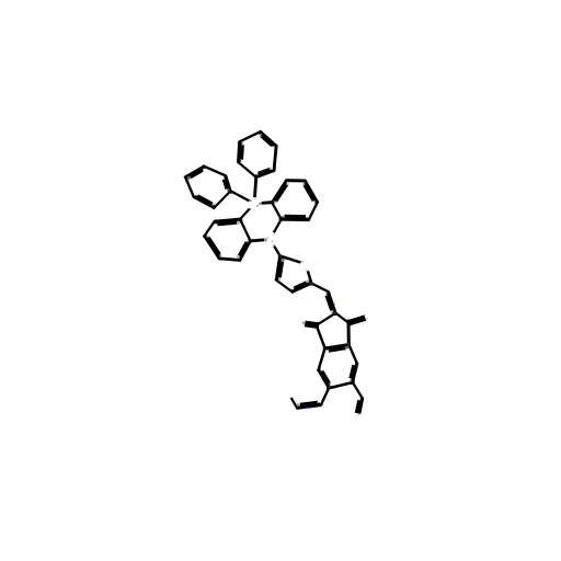 C=Cc1cc2c(cc1/C=C\C)C(=O)/C(=C\c1ccc(N3c4ccccc4[Si](c4ccccc4)(c4ccccc4)c4ccccc43)s1)C2=O